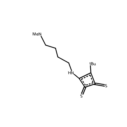 CNCCCCNc1c(C(C)(C)C)c(=S)c1=S